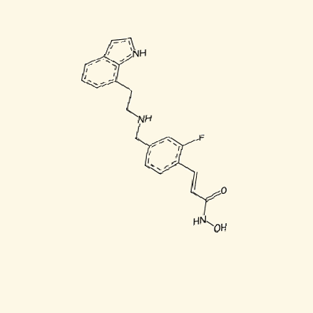 O=C(/C=C/c1ccc(CNCCc2cccc3cc[nH]c23)cc1F)NO